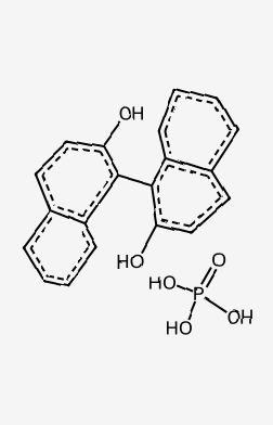 O=P(O)(O)O.Oc1ccc2ccccc2c1-c1c(O)ccc2ccccc12